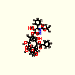 CO[C@H]1C(=O)[C@]2(C)[C@@H](OC)C[C@H]3OC[C@@]3(OC(C)=O)[C@H]2C[C@H](OC(=O)c2ccccc2)[C@]2(O)C[C@H](OC(=O)[C@H](O)C(NC(=O)OC(C)(C)C)c3ccccc3)C(C)=C1C2(C)C